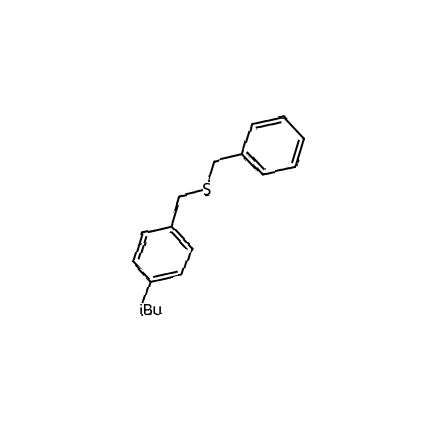 CCC(C)c1ccc(CSCc2ccccc2)cc1